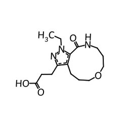 CCn1nc(CCC(=O)O)c2c1C(=O)NCCCOCCC2